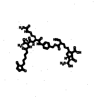 CC(C)C(NC(=O)CCCCCN1C(=O)C=CC1=O)C(=O)N[C@@H](CCCNC(N)=O)C(=O)Nc1ccc(COC(=O)N(C=N)CCSC2=C(C(=O)O)N3C(=O)[C@H]([C@@H](C)O)[C@H]3C2)cc1